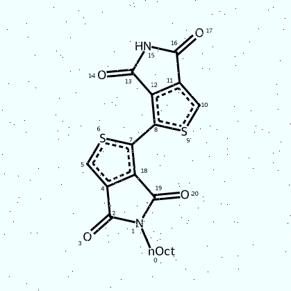 CCCCCCCCN1C(=O)c2csc(-c3scc4c3C(=O)NC4=O)c2C1=O